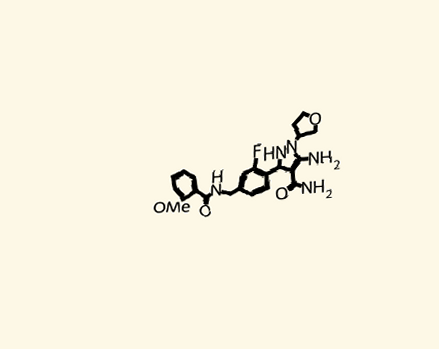 COc1ccccc1C(=O)NCc1ccc(C2NN(C3CCOC3)C(N)=C2C(N)=O)c(F)c1